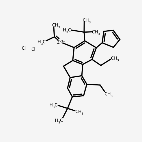 CCc1cc(C(C)(C)C)cc2c1-c1c([c]([Zr+2]=[C](C)C)c(C(C)(C)C)c(C3=CC=CC3)c1CC)C2.[Cl-].[Cl-]